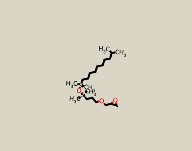 CC(C)CCCCCCCC[Si](C)(C)O[Si](C)(C)CCCOCC1CO1